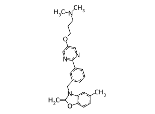 C=C1Oc2ccc(C)cc2N1Cc1cccc(-c2ncc(OCCCN(C)C)cn2)c1